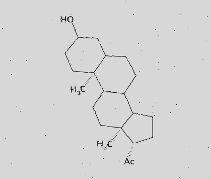 CC(=O)[C@H]1CCC2C3CCC4CC(O)CC[C@]4(C)C3CC[C@@]21C